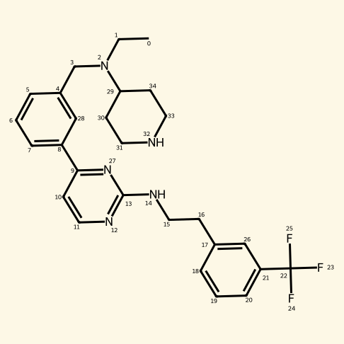 CCN(Cc1cccc(-c2ccnc(NCCc3cccc(C(F)(F)F)c3)n2)c1)C1CCNCC1